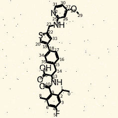 CCc1cc(F)cc(C)c1C(=O)NC(Cc1ccc(-c2csc(CNc3cc(OC)ccn3)c2)cc1)C(=O)O